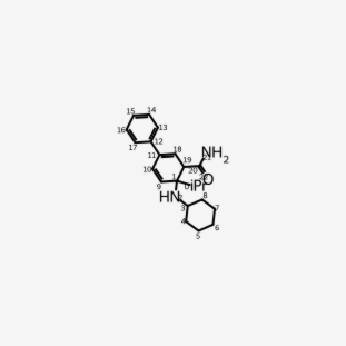 CC(C)C1(NC2CCCCC2)C=CC(c2ccccc2)=CC1C(N)=O